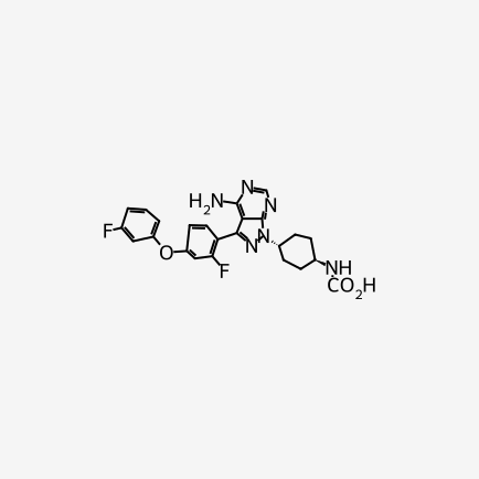 Nc1ncnc2c1c(-c1ccc(Oc3cccc(F)c3)cc1F)nn2[C@H]1CC[C@H](NC(=O)O)CC1